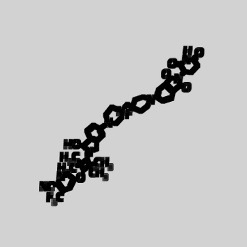 CC1(C)[C@H](Oc2cnc(C#N)c(C(F)(F)F)c2)C(C)(C)[C@H]1N1Cc2cc(N3CCN(CC4(F)CCN(c5ccc6c(c5)C(=O)N(C5CCC(=O)NC5=O)C6=O)CC4)CC3)ccc2C1O